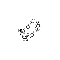 CC1(COc2ccc(CC3SC(=O)NC3=O)cc2)CCCCC1.Cc1c(C)c2c(c(C)c1O)CCC(C)(COc1ccc(CC3SC(=O)NC3=O)cc1)O2